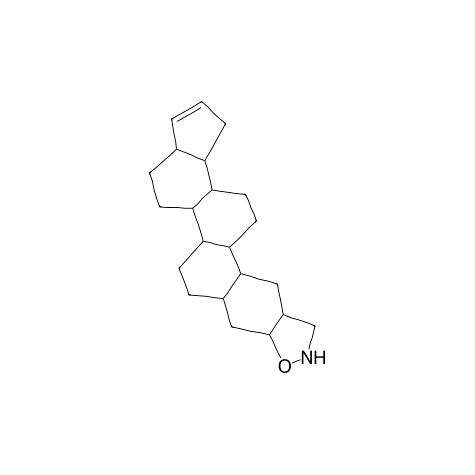 C1=CC2CCC3C(CCC4C5CC6CNOC6CC5CCC43)C2C1